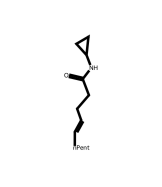 CCCCCC=CCCC(=O)NC1CC1